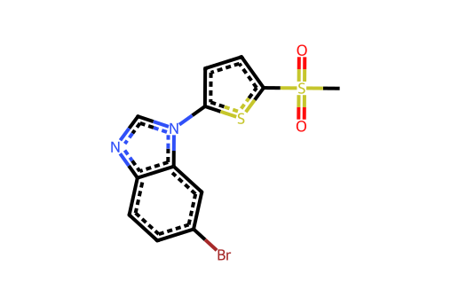 CS(=O)(=O)c1ccc(-n2cnc3ccc(Br)cc32)s1